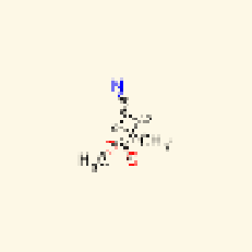 [CH2]C1(C(=O)OC)CC(C#N)C1